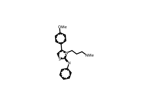 CNCCCn1c(-c2ccc(OC)cc2)csc1=Nc1ccccc1